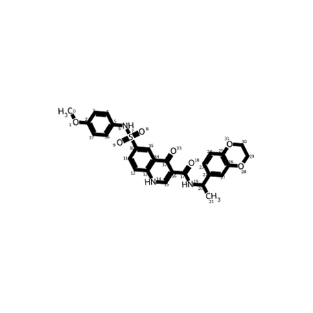 COc1ccc(NS(=O)(=O)c2ccc3[nH]cc(C(=O)NC(C)c4ccc5c(c4)OCCO5)c(=O)c3c2)cc1